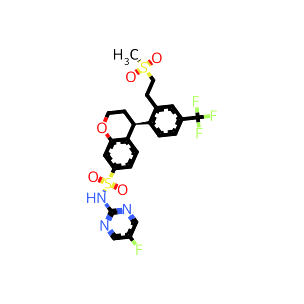 CS(=O)(=O)CCc1cc(C(F)(F)F)ccc1[C@@H]1CCOc2cc(S(=O)(=O)Nc3ncc(F)cn3)ccc21